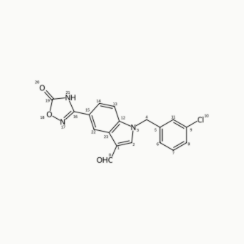 O=Cc1cn(Cc2cccc(Cl)c2)c2ccc(-c3noc(=O)[nH]3)cc12